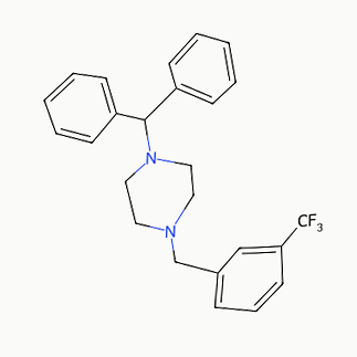 FC(F)(F)c1cccc(CN2CCN(C(c3ccccc3)c3ccccc3)CC2)c1